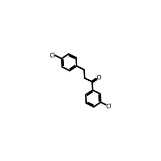 O=C(CCc1ccc(Cl)cc1)c1cccc(Cl)c1